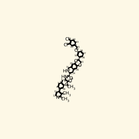 COC(=O)[C@H](Cc1ccc(-c2ccnc(C)c2C)cc1)NC(=O)[C@@H]1Cc2cc3c(cc2CN1)O[C@@H](c1cccc(OCc2ccc(Cl)c(Cl)c2)c1)CO3